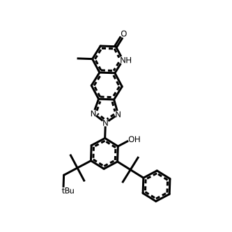 Cc1cc(=O)[nH]c2cc3nn(-c4cc(C(C)(C)CC(C)(C)C)cc(C(C)(C)c5ccccc5)c4O)nc3cc12